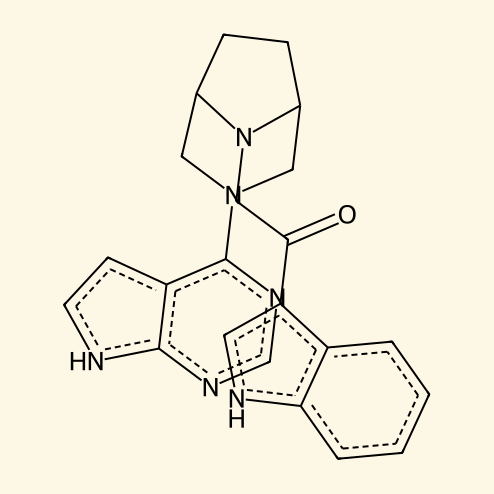 O=C(CN1C2CCC1CN(c1ncnc3[nH]ccc13)C2)c1c[nH]c2ccccc12